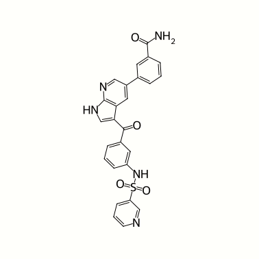 NC(=O)c1cccc(-c2cnc3[nH]cc(C(=O)c4cccc(NS(=O)(=O)c5cccnc5)c4)c3c2)c1